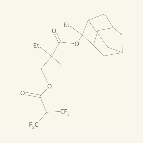 CCC(C)(COC(=O)C(C(F)(F)F)C(F)(F)F)C(=O)OC1(CC)C2CC3CC(C2)CC1C3